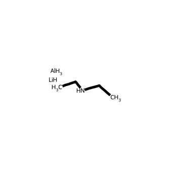 CCNCC.[AlH3].[LiH]